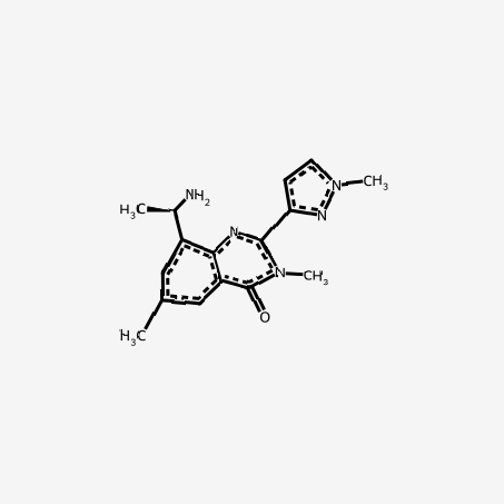 Cc1cc([C@@H](C)N)c2nc(-c3ccn(C)n3)n(C)c(=O)c2c1